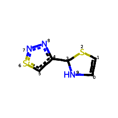 C1=CSC(c2csnn2)N1